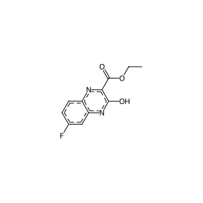 CCOC(=O)c1nc2ccc(F)cc2nc1O